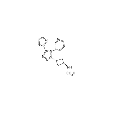 O=C(O)N[C@H]1C[C@H](c2nnc(-c3nccs3)n2-c2cccnc2)C1